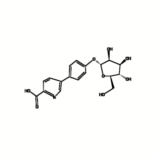 O=C(O)c1ccc(-c2ccc(O[C@H]3O[C@H](CO)[C@@H](O)[C@H](O)[C@@H]3O)cc2)cn1